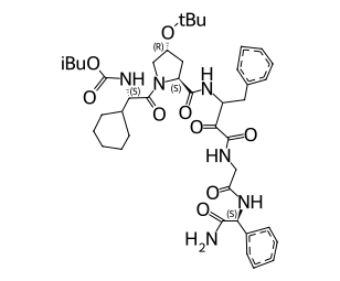 CC(C)COC(=O)N[C@H](C(=O)N1C[C@H](OC(C)(C)C)C[C@H]1C(=O)NC(Cc1ccccc1)C(=O)C(=O)NCC(=O)N[C@H](C(N)=O)c1ccccc1)C1CCCCC1